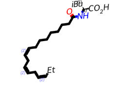 CC/C=C\C/C=C\C/C=C\CCCCCCCC(=O)N[C@H](C(=O)O)[C@@H](C)CC